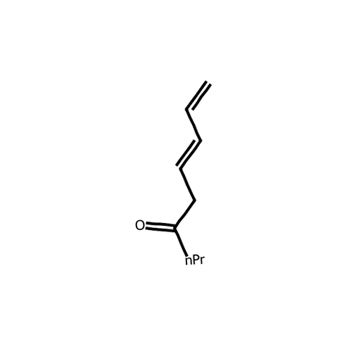 C=CC=CCC(=O)CCC